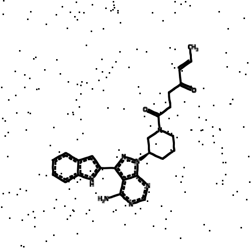 C/C=C/C(=O)CCC(=O)N1CCC[C@@H](n2nc(-c3cc4ccccc4[nH]3)c3c(N)ncnc32)C1